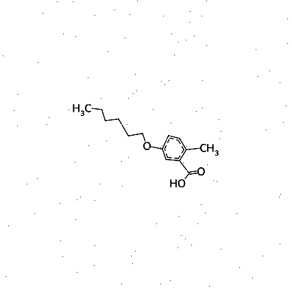 CCCCCCOc1ccc(C)c(C(=O)O)c1